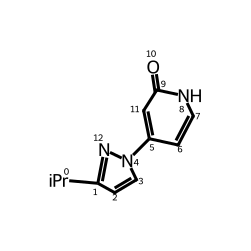 CC(C)c1ccn(-c2cc[nH]c(=O)c2)n1